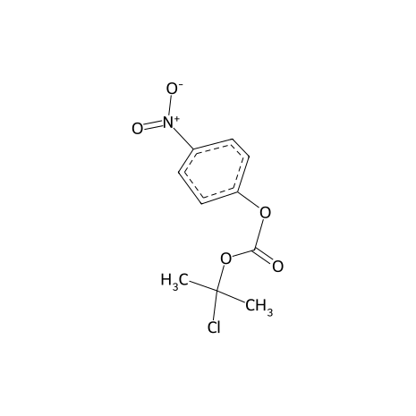 CC(C)(Cl)OC(=O)Oc1ccc([N+](=O)[O-])cc1